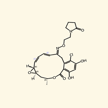 C[C@@H]1C[C@H]2O[C@@H]2/C=C\C=C\C(=NOCCN2CCCC2=O)Cc2c(Cl)c(O)cc(O)c2C(=O)O1